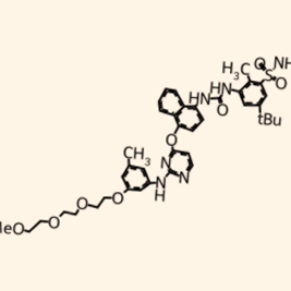 COCCOCCOCCOc1cc(C)cc(Nc2nccc(Oc3ccc(NC(=O)Nc4cc(C(C)(C)C)cc(S(N)(=O)=O)c4C)c4ccccc34)n2)c1